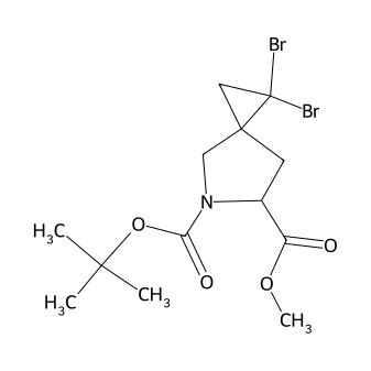 COC(=O)C1CC2(CN1C(=O)OC(C)(C)C)CC2(Br)Br